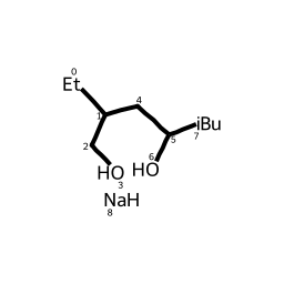 CCC(CO)CC(O)C(C)CC.[NaH]